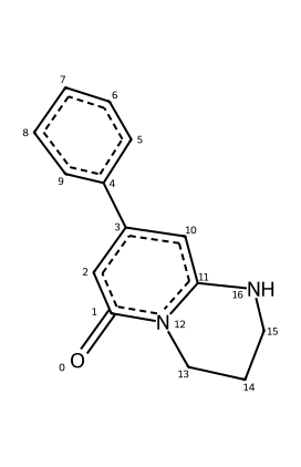 O=c1cc(-c2ccccc2)cc2n1CCCN2